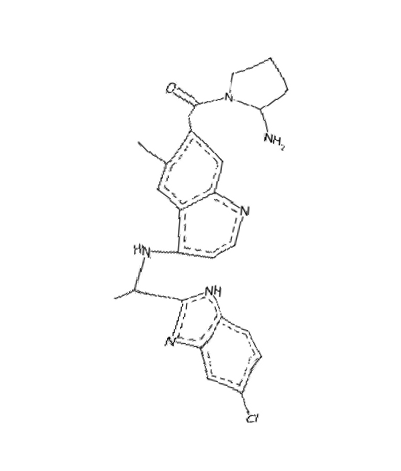 Cc1cc2c(NC(C)c3nc4cc(Cl)ccc4[nH]3)ccnc2cc1C(=O)N1CCCC1N